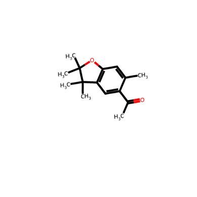 CC(=O)c1cc2c(cc1C)OC(C)(C)C2(C)C